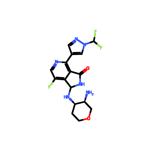 N[C@H]1COCC[C@H]1NC1NC(=O)c2c(-c3cnn(C(F)F)c3)ncc(F)c21